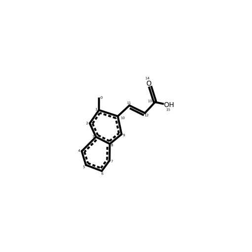 Cc1cc2ccccc2cc1C=CC(=O)O